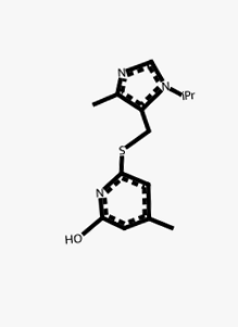 Cc1cc(O)nc(SCc2c(C)ncn2C(C)C)c1